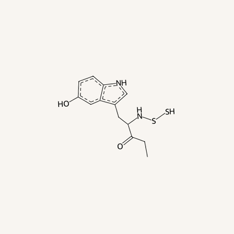 CCC(=O)C(Cc1c[nH]c2ccc(O)cc12)NSS